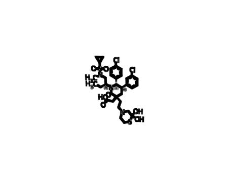 CC[C@@H](CN(C)S(=O)(=O)C1CC1)N1C(=O)[C@@](CCN2CCSC(O)(O)C2)(CC(=O)O)C[C@H](c2cccc(Cl)c2)[C@H]1c1ccc(Cl)cc1